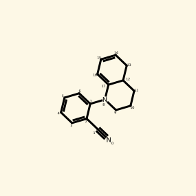 N#Cc1ccccc1N1CCCC2CC=CC=C21